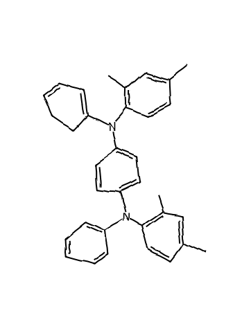 Cc1ccc(N(C2=CC=CCC2)c2ccc(N(c3ccccc3)c3ccc(C)cc3C)cc2)c(C)c1